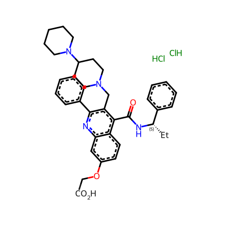 CC[C@H](NC(=O)c1c(CN2CCC(N3CCCCC3)CC2)c(-c2ccccc2)nc2cc(OCC(=O)O)ccc12)c1ccccc1.Cl.Cl